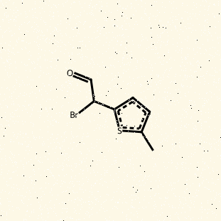 Cc1ccc(C(Br)C=O)s1